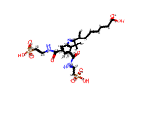 CC(CCCCCC(=O)O)C1=Nc2cc(C(=O)NCCS(=O)(=O)O)cc(C(=O)NCCS(=O)(=O)O)c2C1(C)C